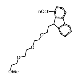 CCCCCCCCc1cccc2c1C(CCOCCOCCOCCOC)c1ccccc1-2